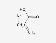 C=CC(=O)O.[CH3][Na]